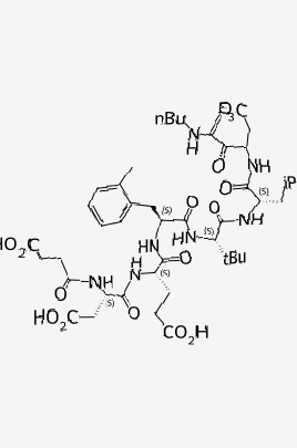 CCCCNC(=O)C(=O)C(CC(F)(F)F)NC(=O)[C@H](CC(C)C)NC(=O)[C@@H](NC(=O)[C@H](Cc1ccccc1C)NC(=O)[C@H](CCC(=O)O)NC(=O)[C@H](CC(=O)O)NC(=O)CCC(=O)O)C(C)(C)C